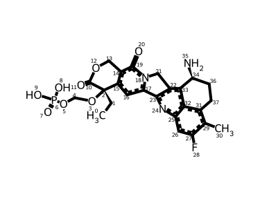 CC[C@@]1(OCOP(=O)(O)O)C(=O)OCc2c1cc1n(c2=O)Cc2c-1nc1cc(F)c(C)c3c1c2[C@@H](N)CC3